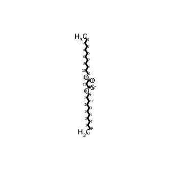 CCCCCCCCCCCCOC(=O)CC(=S)OCCCCCCCCCCCC